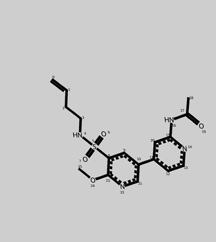 C=CCCNS(=O)(=O)c1cc(-c2ccnc(NC(C)=O)c2)cnc1OC